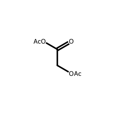 CC(=O)OCC(=O)OC(C)=O